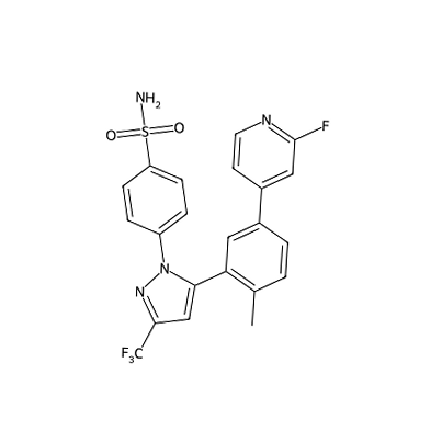 Cc1ccc(-c2ccnc(F)c2)cc1-c1cc(C(F)(F)F)nn1-c1ccc(S(N)(=O)=O)cc1